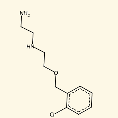 NCCNCCOCc1ccccc1Cl